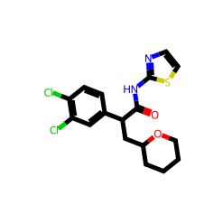 O=C(Nc1nccs1)C(CC1CCCCO1)c1ccc(Cl)c(Cl)c1